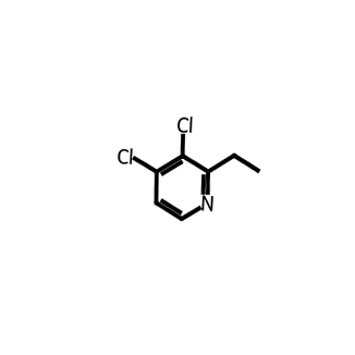 CCc1nccc(Cl)c1Cl